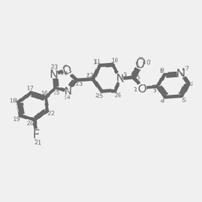 O=C(Oc1cccnc1)N1CCC(c2nc(-c3cccc(F)c3)no2)CC1